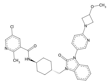 COC1CN(c2ccc(-n3c(=O)n(C[C@H]4CC[C@H](NC(=O)c5cc(Cl)cnc5C)CC4)c4ccccc43)cn2)C1